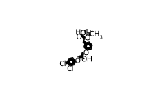 CC(C)O[C@@H](Cc1cccc(OC[C@@H](O)COc2ccc(Cl)c(Cl)c2)c1)C(=O)O